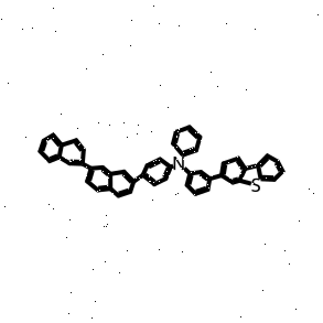 c1ccc(N(c2ccc(-c3ccc4ccc(-c5ccc6ccccc6c5)cc4c3)cc2)c2cccc(-c3ccc4c(c3)sc3ccccc34)c2)cc1